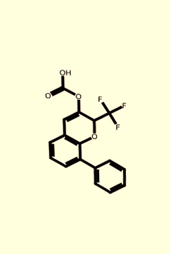 O=C(O)OC1=Cc2cccc(-c3ccccc3)c2OC1C(F)(F)F